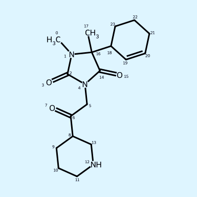 CN1C(=O)N(CC(=O)C2CCCNC2)C(=O)C1(C)C1C=CCCC1